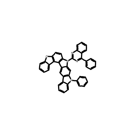 c1ccc(-c2nc(-n3c4cc5c(cc4c4c6c(ccc43)oc3ccccc36)c3ccccc3n5-c3ccccc3)nc3ccccc23)cc1